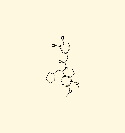 COc1ccc2c(c1OC)CCN(C(=O)Cc1ccc(Cl)c(Cl)c1)C2CN1CCCC1